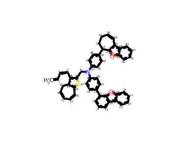 C=C/C=C\c1c(CN(c2ccc(-c3cccc4c3oc3ccccc34)cc2)c2ccc(C3CCC=Cc4c3oc3ccccc43)cc2)sc2c1CC=CC=C2